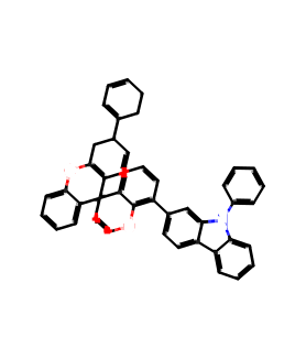 C1=CCCC(C2C=CC3=C(C2)Oc2ccccc2C32c3ccccc3Oc3c(-c4ccc5c6ccccc6n(-c6ccccc6)c5c4)cccc32)=C1